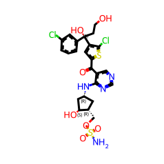 NS(=O)(=O)OC[C@H]1C[C@@H](Nc2ncncc2C(=O)c2cc([C@](O)(CCO)c3cccc(Cl)c3)c(Cl)s2)C[C@@H]1O